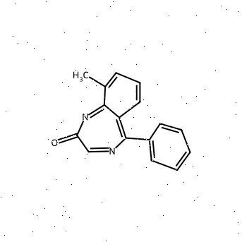 Cc1cccc2c(-c3ccccc3)ncc(=O)nc12